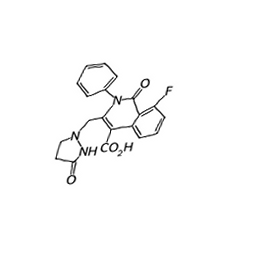 O=C1CCN(Cc2c(C(=O)O)c3cccc(F)c3c(=O)n2-c2ccccc2)N1